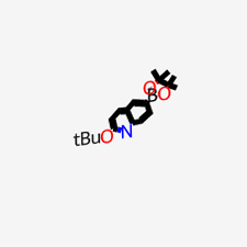 CC(C)(C)Oc1ccc2cc(B3OC(C)(C)C(C)(C)O3)ccc2n1